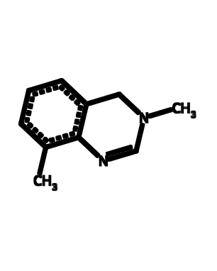 Cc1cccc2c1N=CN(C)C2